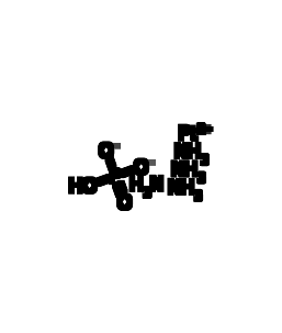 N.N.N.N.O=P([O-])([O-])O.[Pt+2]